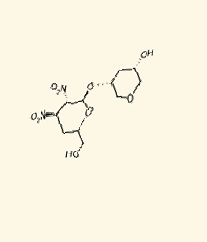 O=[N+]([O-])[C@@H]1[C@@H](O[C@H]2COC[C@@H](O)C2)OC(CO)C[C@H]1[N+](=O)[O-]